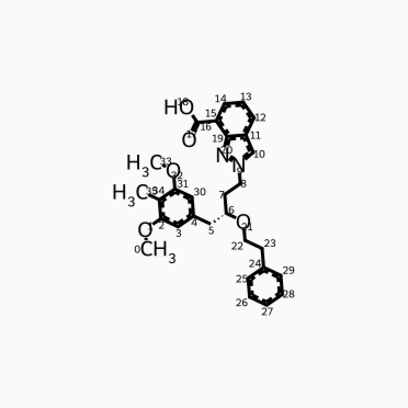 COc1cc(C[C@H](CCn2cc3cccc(C(=O)O)c3n2)OCCc2ccccc2)cc(OC)c1C